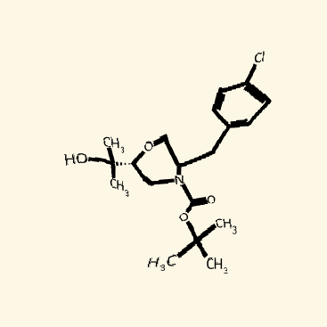 CC(C)(C)OC(=O)N1C[C@H](C(C)(C)O)OCC1Cc1ccc(Cl)cc1